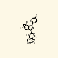 CC(C)(F)[C@@H](CO)NC(=O)c1nn(-c2ccc(F)cn2)c2c1C[C@H]1C[C@@H]21